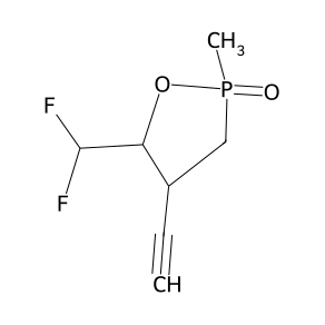 C#CC1CP(C)(=O)OC1C(F)F